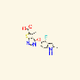 COC(=O)c1sc2ncnc(Oc3ccc4[nH]c(C)cc4c3F)c2c1C